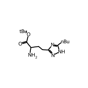 CCCCc1nc(CCC(N)C(=O)OC(C)(C)C)n[nH]1